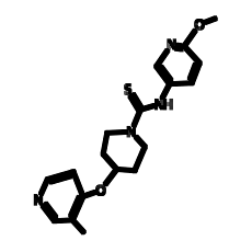 COc1ccc(NC(=S)N2CCC(Oc3ccncc3C)CC2)cn1